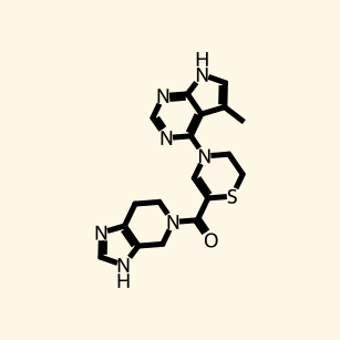 Cc1c[nH]c2ncnc(N3C=C(C(=O)N4CCc5nc[nH]c5C4)SCC3)c12